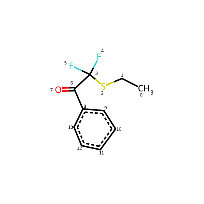 CCSC(F)(F)C(=O)c1ccccc1